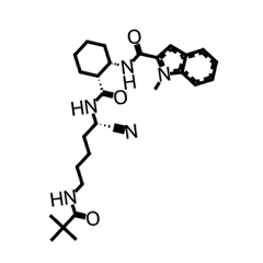 Cn1c(C(=O)N[C@H]2CCCC[C@H]2C(=O)N[C@H](C#N)CCCCNC(=O)C(C)(C)C)cc2ccccc21